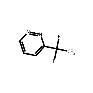 FC(F)(F)C(F)(F)c1cc[c]nn1